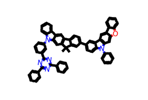 CC1(C)c2cc(-c3ccc4c(c3)c3cc5c(cc3n4-c3ccccc3)oc3ccccc35)ccc2-c2cc3c4ccccc4n(-c4cccc(-c5nc(-c6ccccc6)nc(-c6ccccc6)n5)c4)c3cc21